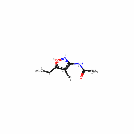 CNC(=O)Nc1noc(COC)c1C(C)C